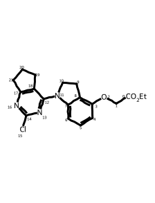 CCOC(=O)COc1cccc2c1CCN2c1nc(Cl)nc2c1CCC2